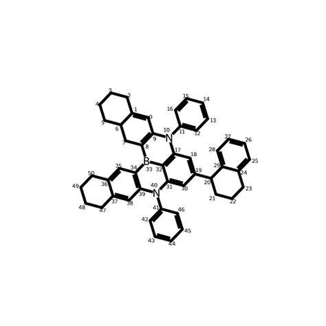 C1=C2CCCCC2CC2=C1N(c1ccccc1)c1cc(C3CCCc4ccccc43)cc3c1B2c1cc2c(cc1N3c1ccccc1)CCCC2